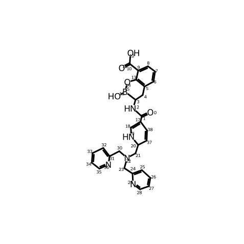 O=C(NC1Cc2cccc(C(=O)O)c2OB1O)C1=CNC(CN(Cc2ccccn2)Cc2ccccn2)C=C1